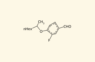 CCCCCCC(C)Oc1ccc(C=O)cc1F